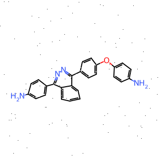 Nc1ccc(Oc2ccc(-c3nnc(-c4ccc(N)cc4)c4ccccc34)cc2)cc1